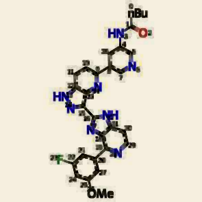 CCCCC(=O)Nc1cncc(-c2ccc3[nH]nc(-c4nc5c(-c6cc(F)cc(OC)c6)nccc5[nH]4)c3n2)c1